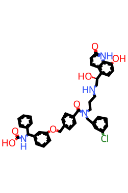 O=C(O)NC(c1ccccc1)c1cccc(OCc2ccc(C(=O)N(CCCNC[C@@H](O)c3ccc(O)c4[nH]c(=O)ccc34)Cc3cccc(Cl)c3)cc2)c1